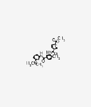 COC(=O)c1ccc(C(=O)Nc2cc(C(=O)Nc3cccc(N(C)C)c3)ccc2C)cc1